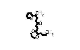 C=C(CCC(=O)/C=C/C1=C(C/C=C\C)OCCCO1)c1ccccn1